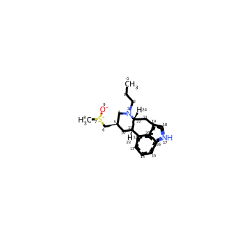 CCCN1C[C@H](C[S+](C)[O-])C[C@@H]2c3cccc4[nH]cc(c34)C[C@H]21